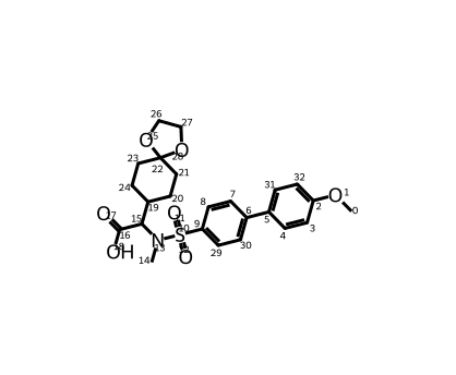 COc1ccc(-c2ccc(S(=O)(=O)N(C)C(C(=O)O)C3CCC4(CC3)OCCO4)cc2)cc1